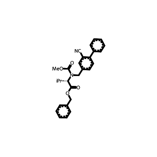 COC(=O)N(Cc1ccc(-c2ccccc2)c(C#N)c1)[C@H](C(=O)OCc1ccccc1)C(C)C